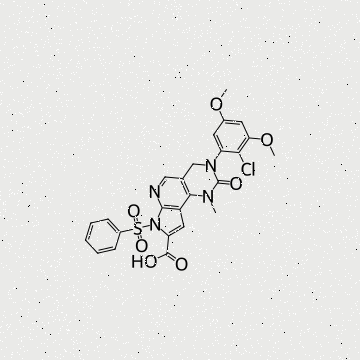 COc1cc(OC)c(Cl)c(N2Cc3cnc4c(cc(C(=O)O)n4S(=O)(=O)c4ccccc4)c3N(C)C2=O)c1